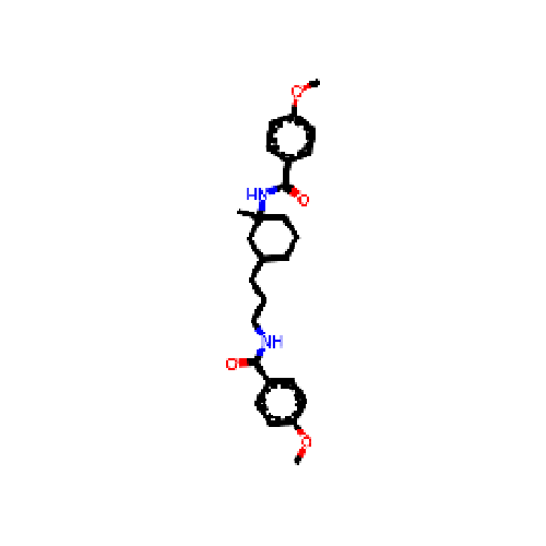 COc1ccc(C(=O)NCCCC2CCCC(C)(NC(=O)c3ccc(OC)cc3)C2)cc1